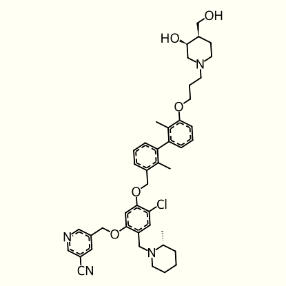 Cc1c(COc2cc(OCc3cncc(C#N)c3)c(CN3CCCC[C@H]3C)cc2Cl)cccc1-c1cccc(OCCCN2CC[C@H](CO)[C@H](O)C2)c1C